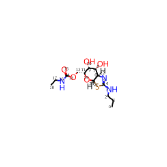 CCCNC1=N[C@@H]2[C@@H](O)[C@@H](O)[C@@H](COC(=O)NCC)O[C@@H]2S1